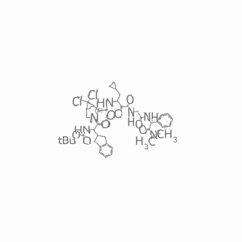 CN(C)C(=O)C(NC(=O)CNC(=O)C(=O)C(CC1CC1)NC(=O)[C@@H]1C2C(CN1C(=O)C(NC(=O)OC(C)(C)C)C1Cc3ccccc3C1)C2(Cl)Cl)c1ccccc1